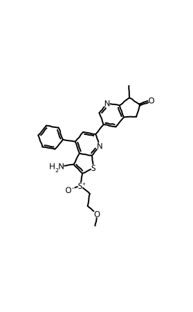 COCC[S+]([O-])c1sc2nc(-c3cnc4c(c3)CC(=O)C4C)cc(-c3ccccc3)c2c1N